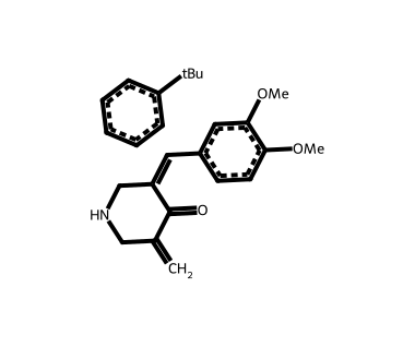 C=C1CNCC(=Cc2ccc(OC)c(OC)c2)C1=O.CC(C)(C)c1ccccc1